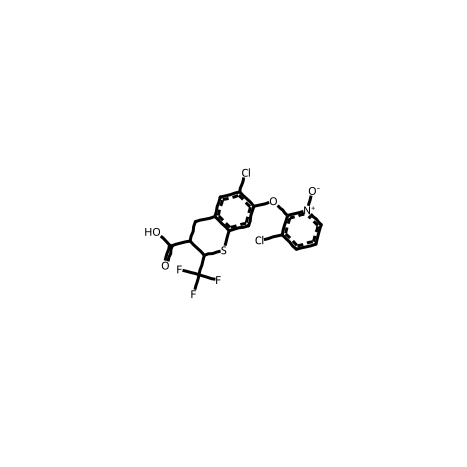 O=C(O)C1Cc2cc(Cl)c(Oc3c(Cl)ccc[n+]3[O-])cc2SC1C(F)(F)F